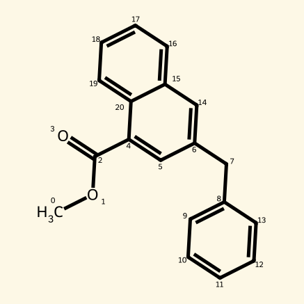 COC(=O)c1cc(Cc2ccccc2)cc2ccccc12